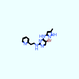 Cc1cc(Nc2nc(NCCc3ccccn3)ncc2Br)n[nH]1